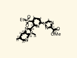 CCS(=O)(=O)c1ccc(-n2cnc(C(=O)OC)n2)nc1-c1nc2cc(C)cnc2n1C